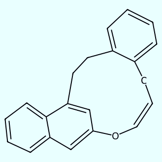 C1=C\Oc2cc(c3ccccc3c2)CCc2ccccc2C/1